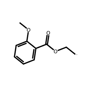 [CH2]COC(=O)c1ccccc1OC